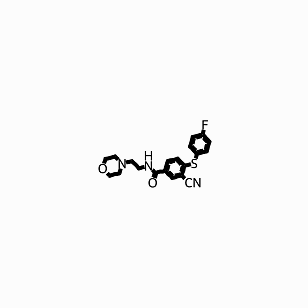 N#Cc1cc(C(=O)NCCN2CCOCC2)ccc1Sc1ccc(F)cc1